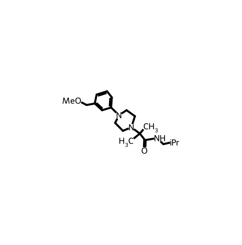 COCc1cccc(N2CCN(C(C)(C)C(=O)NCC(C)C)CC2)c1